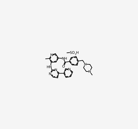 CS(=O)(=O)O.Cc1ncc(NC(=O)c2ccc(CN3CCN(C)CC3)cc2)cc1Nc1nccc(-c2cccnc2)n1